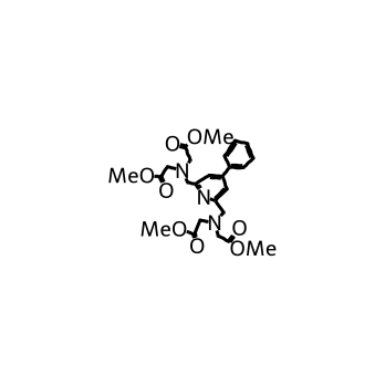 COC(=O)CN(CC(=O)OC)Cc1cc(-c2ccccc2)cc(CN(CC(=O)OC)CC(=O)OC)n1